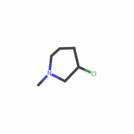 CN1CC[CH]C(Cl)C1